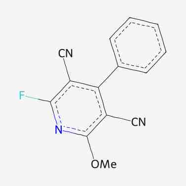 COc1nc(F)c(C#N)c(-c2ccccc2)c1C#N